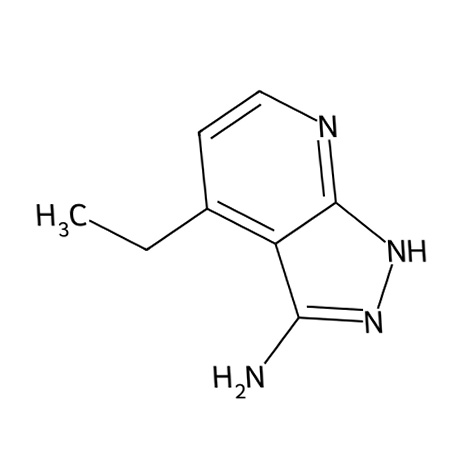 CCc1ccnc2[nH]nc(N)c12